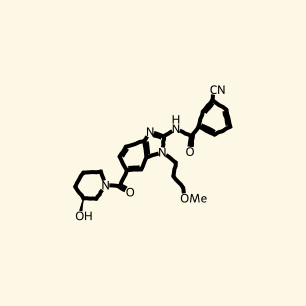 COCCCn1c(NC(=O)c2cccc(C#N)c2)nc2ccc(C(=O)N3CCC[C@H](O)C3)cc21